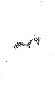 N#Cc1cc(CC2CC3(C2)CN(C(=O)N2CC4(CC(c5nc(C6(N)CC6)n[nH]5)C4)C2)C3)ccc1C(F)(F)F